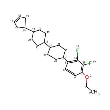 CCOc1ccc(C2CCC(C3CCC(C4CC=CC4)CC3)CC2)c(F)c1F